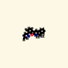 CCC1(CC)c2ccccc2-c2cc3c(nc21)oc1c(-c2ccc(C)cn2)c(C)ccc13